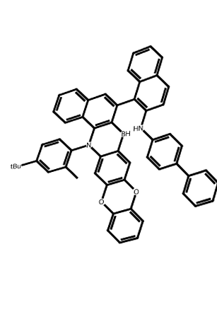 Cc1cc(C(C)(C)C)ccc1N1c2cc3c(cc2Bc2c(-c4c(Nc5ccc(-c6ccccc6)cc5)ccc5ccccc45)cc4ccccc4c21)Oc1ccccc1O3